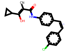 N#CC(C(=O)Nc1ccc(/C=C\c2ccc(Cl)cc2)cc1)=C(O)C1CC1